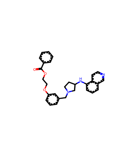 O=C(OCCOc1cccc(CN2CCC(Nc3cccc4cnccc34)C2)c1)c1ccccc1